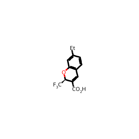 CCc1ccc2c(c1)O[C@H](C(F)(F)F)C(C(=O)O)=C2